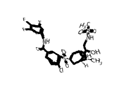 C[C@H]1CC2C[C@@H](S(=O)(=O)c3cc(C(=O)Nc4cc(F)c(F)c(F)c4)ccc3Cl)C[C@H]1[C@@]2(O)C(O)CNS(C)(=O)=O